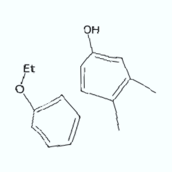 CCOc1ccccc1.Cc1ccc(O)cc1C